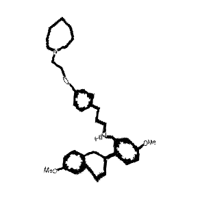 COc1ccc2c(c1)CCC(c1ccc(OC)cc1NCCCc1ccc(OCCN3CCCCCCC3)cc1)C2